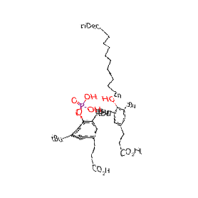 CC(C)(C)c1cc(CCC(=O)O)cc(C(C)(C)C)c1O.CC(C)(C)c1cc(CCC(=O)O)cc(C(C)(C)C)c1OP(=O)(O)O.CCCCCCCCCCCCCCCCC[CH2][Zn]